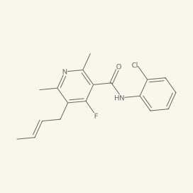 CC=CCc1c(C)nc(C)c(C(=O)Nc2ccccc2Cl)c1F